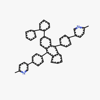 Cc1ccc(-c2ccc(-c3c4ccccc4c(-c4ccc(-c5ccc(C)nc5)cc4)c4cc(-c5ccccc5-c5ccccc5)ccc34)cc2)cn1